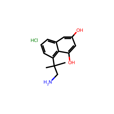 CC(C)(CN)c1cccc2cc(O)cc(O)c12.Cl